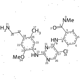 CNC(=O)c1ccccc1Nc1nc(Nc2cc(C)c(CCN)cc2OC)ncc1Cl